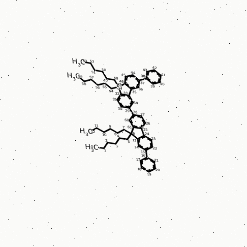 CCCCCCC1(CCCCCC)c2cc(-c3ccccc3)ccc2-c2ccc(-c3ccc4c(c3)-c3cc(-c5ccccc5)ccc3[Si]4(CCCCCC)CCCCCC)cc21